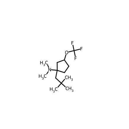 CN(C)C1(CC(C)(C)C)CCC(OC(F)(F)F)C1